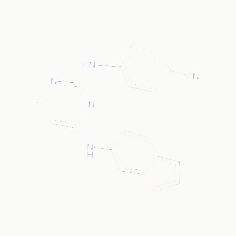 N#Cc1ccc(Nc2nccc(Nc3ccc4ccoc4c3)n2)cc1